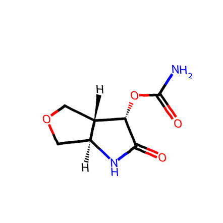 NC(=O)O[C@@H]1C(=O)N[C@H]2COC[C@@H]21